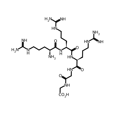 N=C(N)NCCC[C@H](NC(=O)[C@H](CCCNC(=N)N)NC(=O)[C@@H](N)CCCNC(=N)N)C(=O)NCC(=O)NCC(=O)O